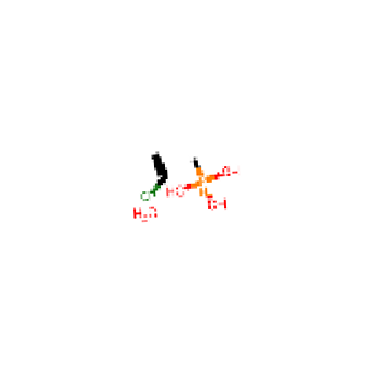 C=CCl.C[PH](O)(O)O.O